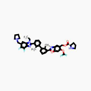 Cc1c(-c2nc3cc(COC(=O)[C@@H]4CCCN4)c(OC(F)F)cc3o2)cccc1-c1cccc(-c2nc3c(F)c(F)c(CN4CCCC4)cc3n2CC(F)(F)F)c1C